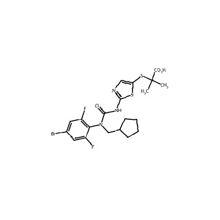 CC(C)(Sc1cnc(NC(=O)N(CC2CCCC2)c2c(F)cc(Br)cc2F)s1)C(=O)O